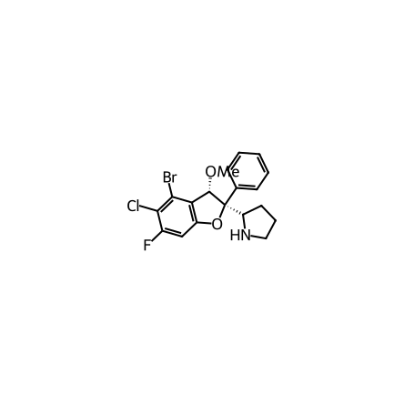 CO[C@H]1c2c(cc(F)c(Cl)c2Br)O[C@@]1(c1ccccc1)C1CCCN1